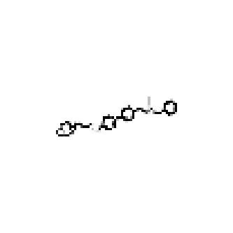 c1ccc(CNCCc2ccc(-c3ccc(OCCCN4CCOCC4)cc3)cc2)cc1